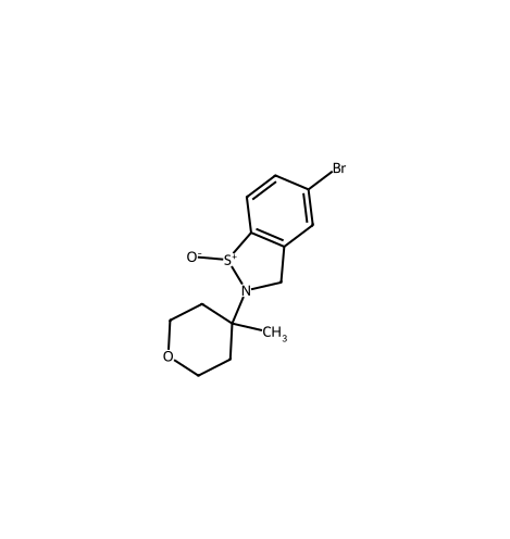 CC1(N2Cc3cc(Br)ccc3[S+]2[O-])CCOCC1